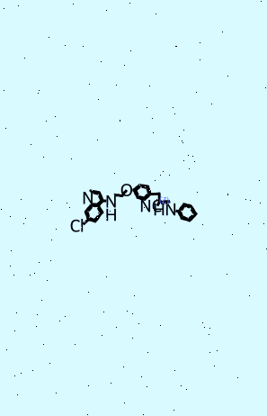 N#C/C(=C\Nc1ccccc1)Cc1ccc(OCCNc2ccnc3cc(Cl)ccc23)cc1